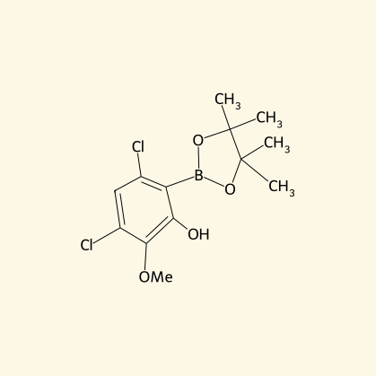 COc1c(Cl)cc(Cl)c(B2OC(C)(C)C(C)(C)O2)c1O